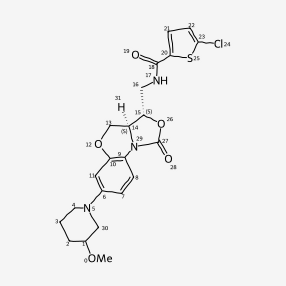 COC1CCCN(c2ccc3c(c2)OC[C@H]2[C@H](CNC(=O)c4ccc(Cl)s4)OC(=O)N32)C1